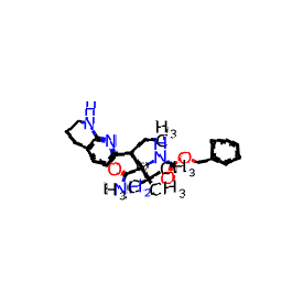 CCC(c1ccc2c(n1)NCCC2)[C@@](NC(=O)OCc1ccccc1)(C(N)=O)C(C)(C)C